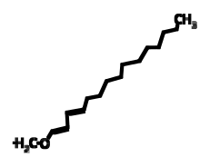 [CH2]O/C=C/C=C/CCCCCCCCCCC